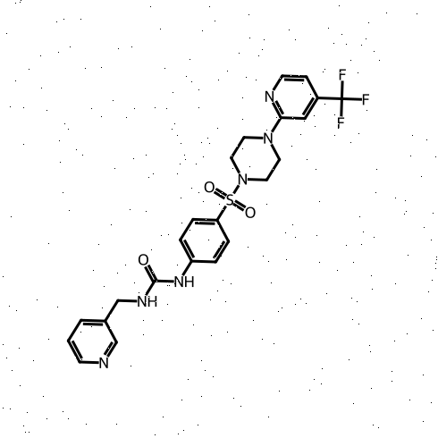 O=C(NCc1cccnc1)Nc1ccc(S(=O)(=O)N2CCN(c3cc(C(F)(F)F)ccn3)CC2)cc1